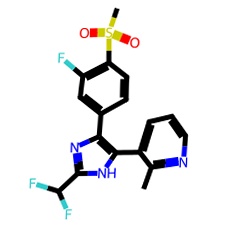 Cc1ncccc1-c1[nH]c(C(F)F)nc1-c1ccc(S(C)(=O)=O)c(F)c1